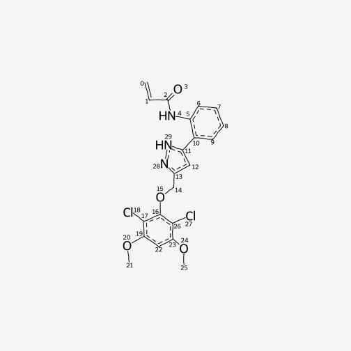 C=CC(=O)Nc1ccccc1-c1cc(COc2c(Cl)c(OC)cc(OC)c2Cl)n[nH]1